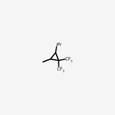 CC(C)C1C(C)C1(C(F)(F)F)C(F)(F)F